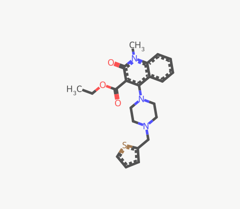 CCOC(=O)c1c(N2CCN(Cc3cccs3)CC2)c2ccccc2n(C)c1=O